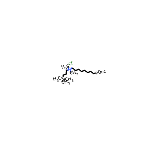 CCCCCCCCCCCCCCCCCC[N+](C)(C)CCC[Si](C)(C)C.[Cl-]